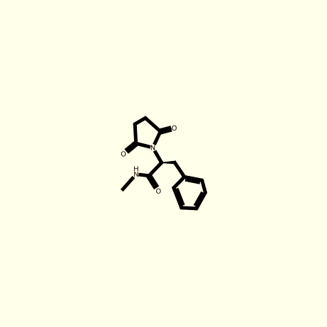 CNC(=O)[C@H](Cc1ccccc1)N1C(=O)CCC1=O